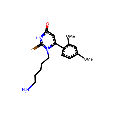 COc1ccc(-c2cc(=O)[nH]c(=S)n2CCCCCN)c(OC)c1